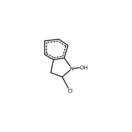 ON1c2ccccc2CC1Cl